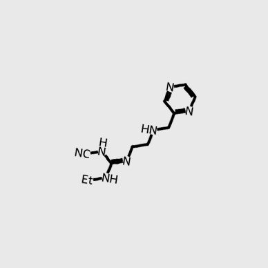 CCN/C(=N/CCNCc1cnccn1)NC#N